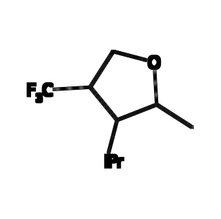 CC(C)C1C(C)OCC1C(F)(F)F